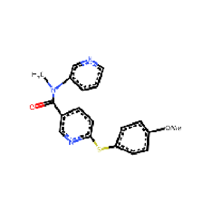 COc1ccc(Sc2ccc(C(=O)N(C)c3cccnc3)cn2)cc1